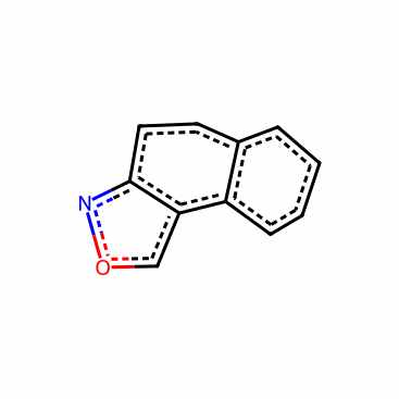 c1ccc2c(c1)ccc1nocc12